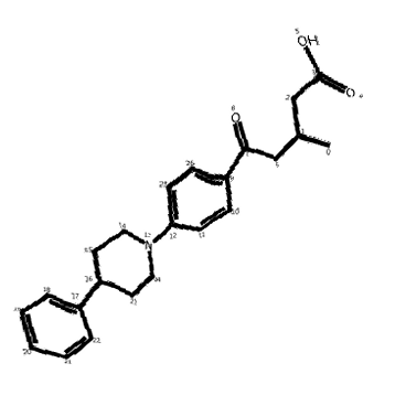 CC(CC(=O)O)CC(=O)c1ccc(N2CCC(c3ccccc3)CC2)cc1